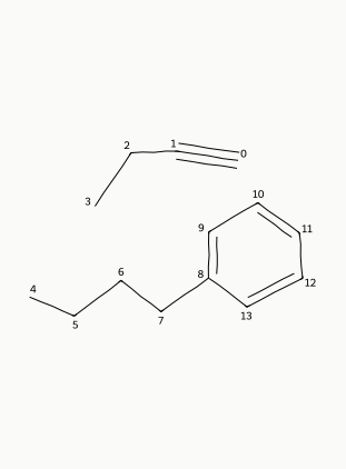 C#CCC.CCCCc1ccccc1